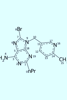 CCCc1nc(N)c2nc(Br)n(Cc3ccc(C)nc3)c2n1